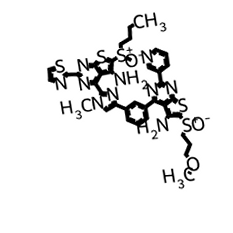 CCCC[S+]([O-])c1sc2nc(-c3nccs3)nc(-c3nc(-c4cccc(-c5nc(-c6cccnc6)nc6sc([S+]([O-])CCCOC)c(N)c56)c4)cn3C)c2c1N